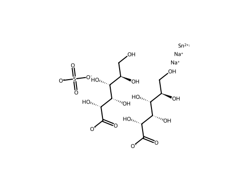 O=C([O-])[C@H](O)[C@@H](O)[C@H](O)[C@H](O)CO.O=C([O-])[C@H](O)[C@@H](O)[C@H](O)[C@H](O)CO.O=S(=O)([O-])[O-].[Na+].[Na+].[Sn+2]